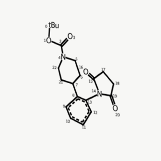 CC(C)(C)OC(=O)N1CCC(c2ccccc2N2C(=O)CCC2=O)CC1